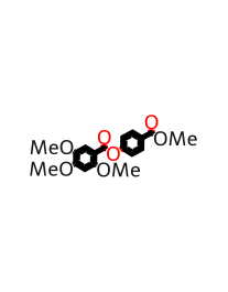 COC(=O)c1ccc(OC(=O)c2cc(OC)c(OC)cc2OC)cc1